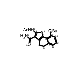 CC(=O)Nc1sc2c(c1C(N)=O)CCc1cccc(OCC(C)C)c1-2